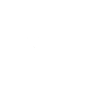 CC(C)c1ncc(OCC(F)F)s1